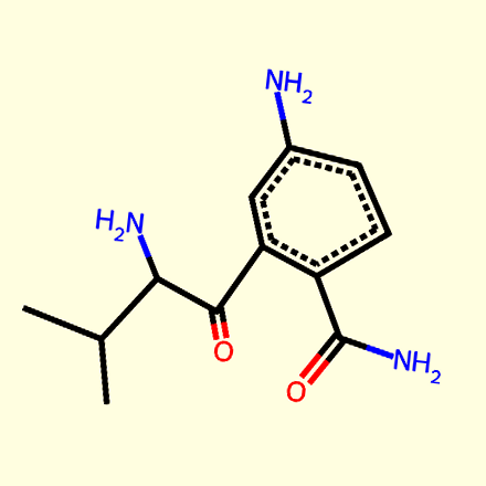 CC(C)C(N)C(=O)c1cc(N)ccc1C(N)=O